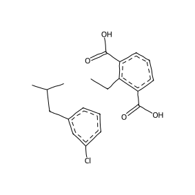 CC(C)Cc1cccc(Cl)c1.CCc1c(C(=O)O)cccc1C(=O)O